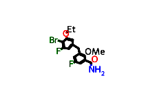 CCOc1cc(Cc2cc(F)cc(C(N)=O)c2OC)cc(F)c1Br